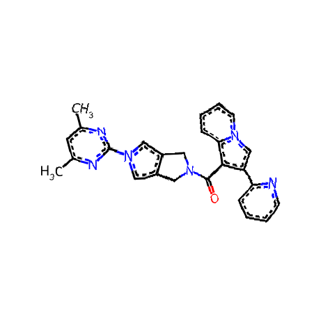 Cc1cc(C)nc(-n2cc3c(c2)CN(C(=O)c2c(-c4ccccn4)cn4ccccc24)C3)n1